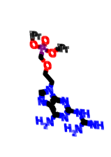 CC(C)OP(=O)(COCCn1cnc2c(N)nc(NC(=N)N)nc21)OC(C)C